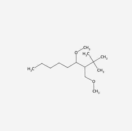 CCCCCC(OC)C(COC)C(C)(C)C